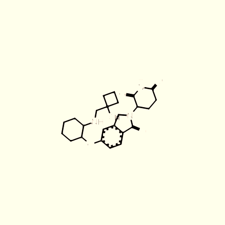 N#CC1(CNC2CCCCC2Oc2ccc3c(c2)CN(C2CCC(=O)NC2=O)C3=O)CCC1